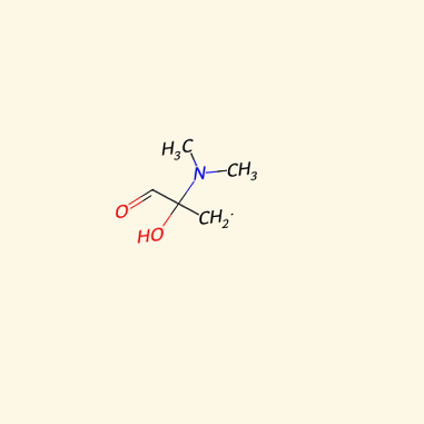 [CH2]C(O)(C=O)N(C)C